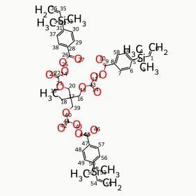 C=C[Si](C)(C)c1ccc(C(=O)OOC(=O)OCC(CC)(COC(=O)OOC(=O)c2ccc([Si](C)(C)C=C)cc2)COC(=O)OOC(=O)c2ccc([Si](C)(C)C=C)cc2)cc1